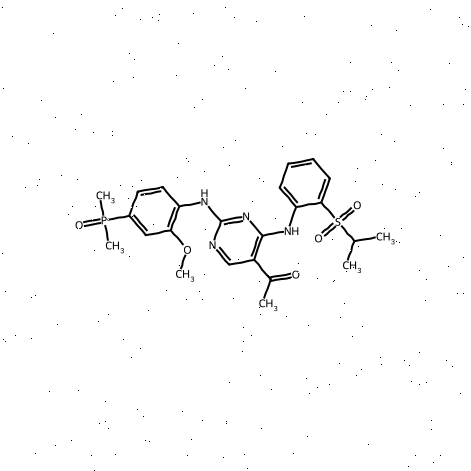 COc1cc(P(C)(C)=O)ccc1Nc1ncc(C(C)=O)c(Nc2ccccc2S(=O)(=O)C(C)C)n1